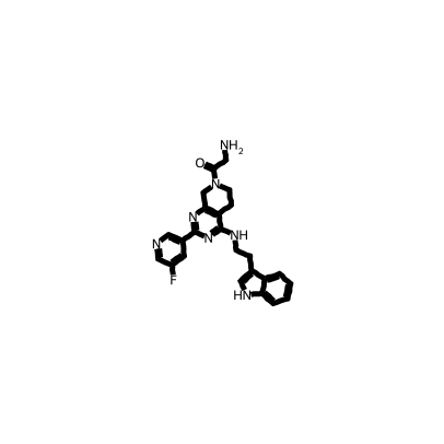 NCC(=O)N1CCc2c(nc(-c3cncc(F)c3)nc2NCCc2c[nH]c3ccccc23)C1